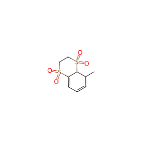 CC1C=CC=C2C1S(=O)(=O)CCS2(=O)=O